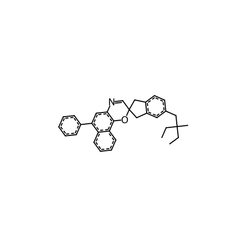 CCC(C)(CC)Cc1ccc2c(c1)CC1(C=Nc3cc(-c4ccccc4)c4ccccc4c3O1)C2